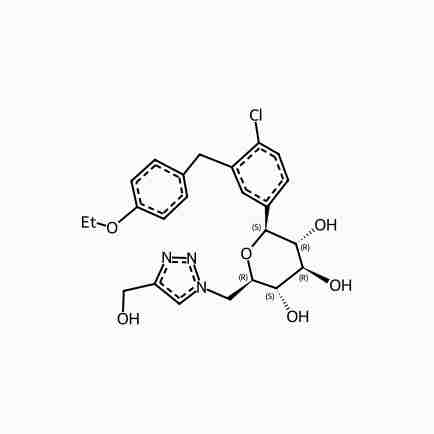 CCOc1ccc(Cc2cc([C@@H]3O[C@H](Cn4cc(CO)nn4)[C@@H](O)[C@H](O)[C@H]3O)ccc2Cl)cc1